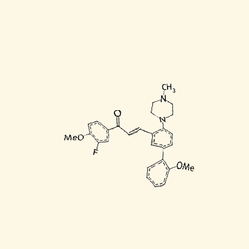 COc1ccc(C(=O)C=Cc2cc(-c3ccccc3OC)ccc2N2CCN(C)CC2)cc1F